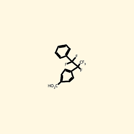 O=C(O)c1ccc(C(F)(C(F)(F)F)C(F)(F)c2ccccc2)cc1